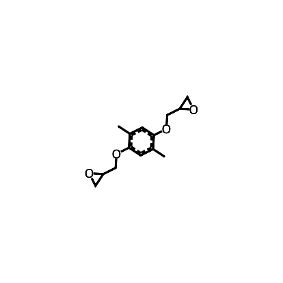 Cc1cc(OCC2CO2)c(C)cc1OCC1CO1